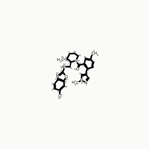 Cc1ccc(-c2cnn(C)c2)c(C(=O)N2CCC[C@@H](C)C2CNc2nc3ccc(Cl)cc3o2)c1